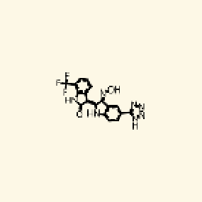 O=C1Nc2c(cccc2C(F)(F)F)/C1=C1/Nc2ccc(-c3nnn[nH]3)cc2/C1=N\O